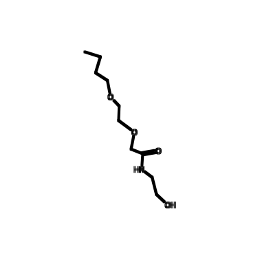 CCCCOCCOCC(=O)NCCO